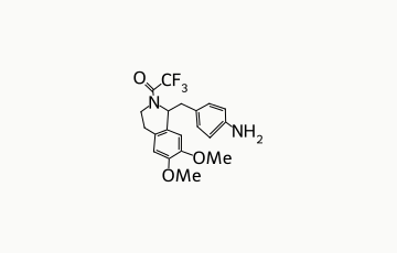 COc1cc2c(cc1OC)C(Cc1ccc(N)cc1)N(C(=O)C(F)(F)F)CC2